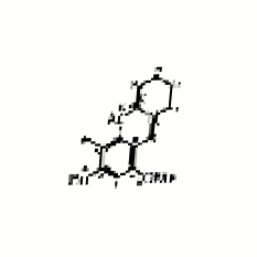 COc1cc(C(C)(C)C)c(C)cc1CN1CCCC[C@@H]1C(C)=O